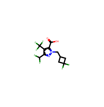 O=C(O)c1c(C(F)(F)F)c(C(F)F)nn1CC1CC(F)(F)C1